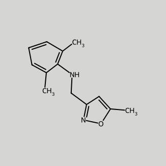 Cc1cc(CNc2c(C)cccc2C)no1